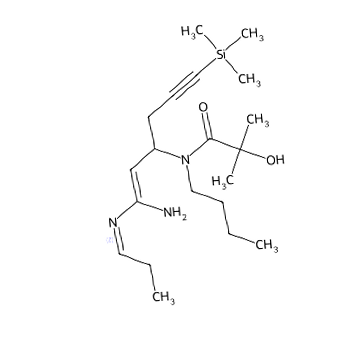 CC/C=N\C(N)=CC(CC#C[Si](C)(C)C)N(CCCC)C(=O)C(C)(C)O